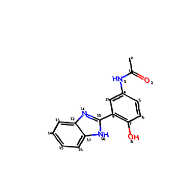 CC(=O)Nc1ccc(O)c(-c2nc3ccccc3[nH]2)c1